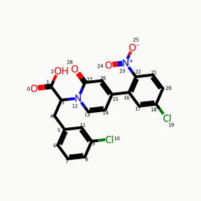 O=C(O)C(Cc1cccc(Cl)c1)n1ccc(-c2cc(Cl)ccc2[N+](=O)[O-])cc1=O